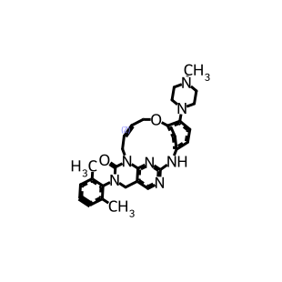 Cc1c#ccc(C)c1N1Cc2cnc3nc2N(C/C=C\COc2cc(ccc2N2CCN(C)CC2)N3)C1=O